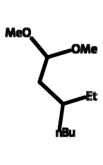 CCCCC(CC)CC(OC)OC